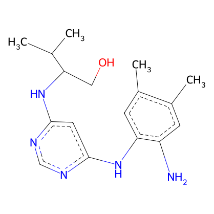 Cc1cc(N)c(Nc2cc(NC(CO)C(C)C)ncn2)cc1C